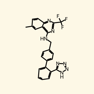 Cc1ccc2nc(C(F)(F)F)nc(NCc3ccc(-c4ccccc4-c4nnn[nH]4)cc3)c2c1